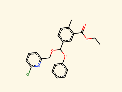 CCOC(=O)c1cc(C(OCc2cccc(Cl)n2)Oc2ccccc2)ccc1C